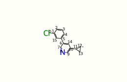 Clc1cccc(-c2cncc(C3[CH]C3)c2)c1